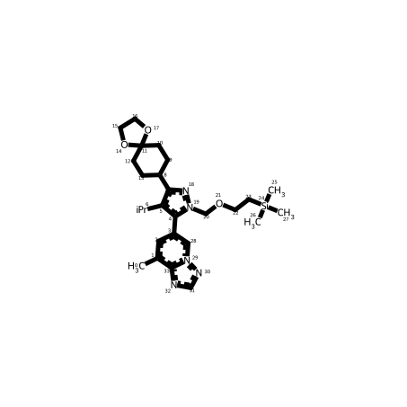 Cc1cc(-c2c(C(C)C)c(C3CCC4(CC3)OCCO4)nn2COCC[Si](C)(C)C)cn2ncnc12